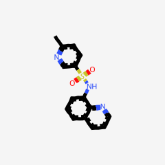 Cc1ccc(S(=O)(=O)Nc2cccc3cccnc23)cn1